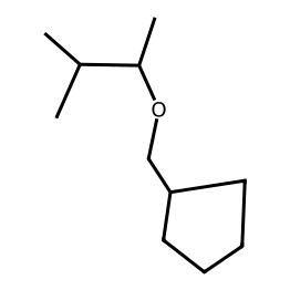 CC(C)C(C)OCC1CCCC1